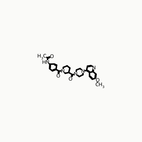 COc1ccc2c(N3CCN(C(=O)C4CCCN(C(=O)c5ccc(NC(C)=O)cc5)C4)CC3)ccnc2c1